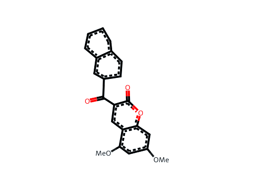 COc1cc(OC)c2cc(C(=O)c3ccc4ccccc4c3)c(=O)oc2c1